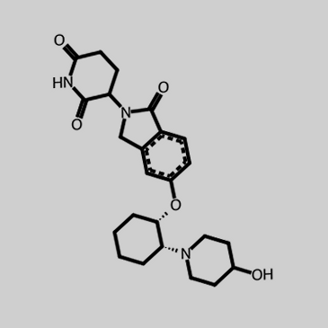 O=C1CCC(N2Cc3cc(O[C@H]4CCCC[C@H]4N4CCC(O)CC4)ccc3C2=O)C(=O)N1